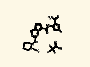 Cn1cc(NC(=O)c2ccc3cnc(N[C@@H]4CCCC[C@@H]4N)nn23)c(C(N)=O)n1.O=C(O)C(F)(F)F